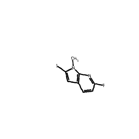 Cn1c(I)cc2ccc(F)nc21